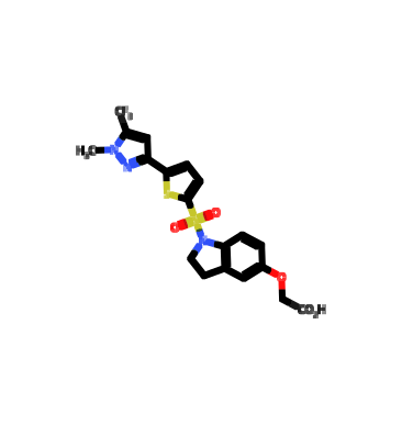 Cn1nc(-c2ccc(S(=O)(=O)N3CCc4cc(OCC(=O)O)ccc43)s2)cc1C(F)(F)F